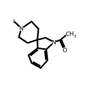 CC(=O)N1CC2(CCN(I)CC2)c2ccccc21